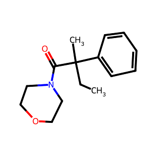 CCC(C)(C(=O)N1CCOCC1)c1ccccc1